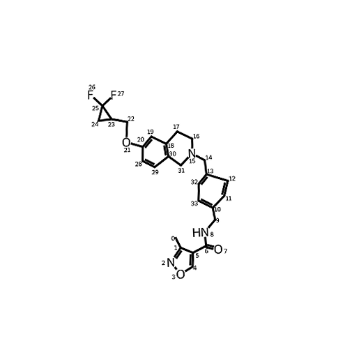 Cc1nocc1C(=O)NCc1ccc(CN2CCc3cc(OCC4CC4(F)F)ccc3C2)cc1